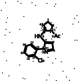 CC(=O)N1CCN=C1Nc1ccnn1-c1ccccc1Cl